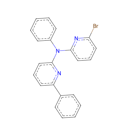 Brc1cccc(N(c2ccccc2)c2cccc(-c3ccccc3)n2)n1